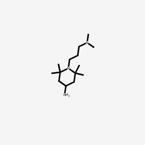 CN(C)CCCN1C(C)(C)CC(N)CC1(C)C